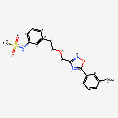 COc1cccc(-c2nc(COCCc3cccc(NS(=O)(=O)C(F)(F)F)c3)no2)c1